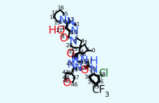 CC1CC2(CCN(C(=O)c3ncnc(N4CCCCC4)c3O)CC2)c2c1n(CC(=O)Nc1ccc(C(F)(F)F)cc1Cl)c1nc(C3=CCOCC3)nn1c2=O